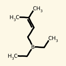 CCB(CC)CC=C(C)C